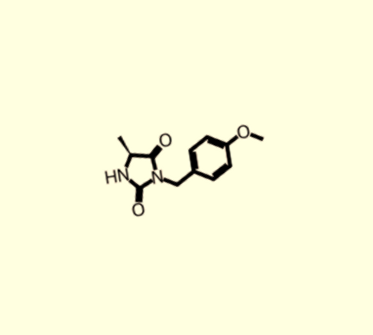 COc1ccc(CN2C(=O)N[C@@H](C)C2=O)cc1